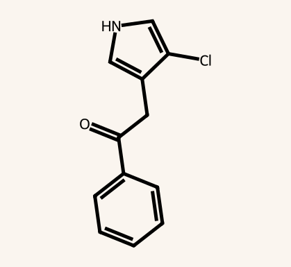 O=C(Cc1c[nH]cc1Cl)c1ccccc1